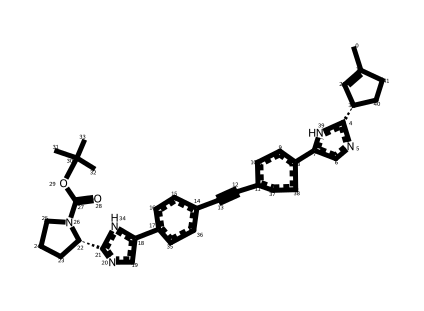 CC1=C[C@@H](c2ncc(-c3ccc(C#Cc4ccc(-c5cnc([C@@H]6CCCN6C(=O)OC(C)(C)C)[nH]5)cc4)cc3)[nH]2)CC1